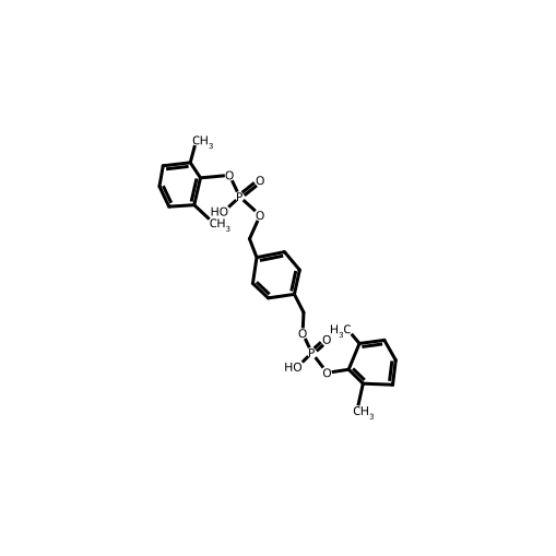 Cc1cccc(C)c1OP(=O)(O)OCc1ccc(COP(=O)(O)Oc2c(C)cccc2C)cc1